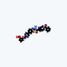 O=C(Nc1nc2ccc(-c3cnc(CO[C@H]4CCC[C@@H]4O)nc3)cc2s1)C1CC2(CCN(C(=O)c3ccccc3)CC2)C1